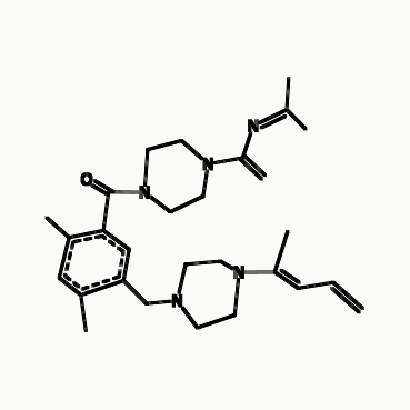 C=C/C=C(\C)N1CCN(Cc2cc(C(=O)N3CCN(C(=C)N=C(C)C)CC3)c(C)cc2C)CC1